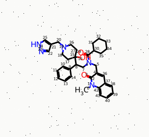 Cn1c(=O)c(CN(CC(c2ccccc2)C2(O)CCN(Cc3cn[nH]c3)CC2)C(=O)C2CCCCC2)cc2ccccc21